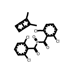 Cc1c2ccc-2c1C.O=C(c1c(Cl)cccc1Cl)[P](=O)C(=O)c1c(Cl)cccc1Cl